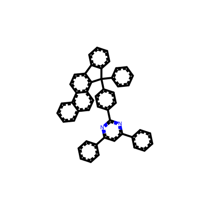 c1ccc(-c2cc(-c3ccccc3)nc(-c3ccc(C4(c5ccccc5)c5ccccc5-c5ccc6c(ccc7ccccc76)c54)cc3)n2)cc1